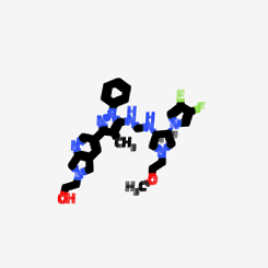 COCCN1C[C@@H](n2cc(F)c(F)c2)[C@H](NCNc2c(C)c(-c3cnc4c(c3)CN(CCO)C4)nn2-c2ccccc2)C1